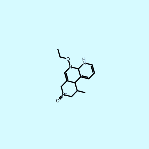 CCON1C=C2C[N+](=O)CC(C)C2C2=CC=CNC21